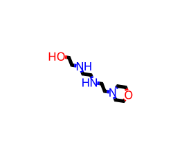 OCCNCCNCCN1CCOCC1